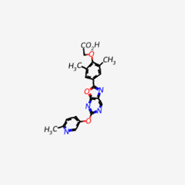 Cc1ccc(Oc2ncc3nc(-c4cc(C)c(OCC(=O)O)c(C)c4)oc3n2)cn1